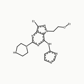 CCOCCn1nc(CC)c2nc(N3CCNCC3)nc(Nc3ccncn3)c21